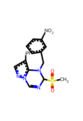 CC(C)c1cnn2c1N(Cc1cccc([N+](=O)[O-])c1)C(S(C)(=O)=O)N=C2